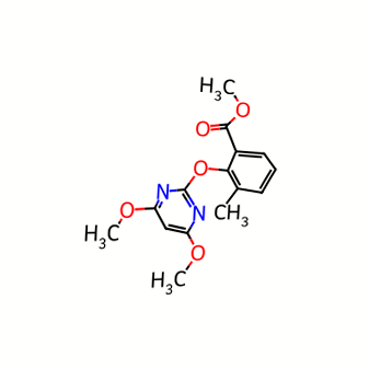 COC(=O)c1cccc(C)c1Oc1nc(OC)cc(OC)n1